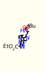 CCOC(=O)c1cnn2ccc(N3CCC4CC43c3cc(F)cnc3CCC(C)NC(=O)OC(C)(C)C)nc12